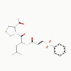 CC(C)CC(NC(=O)C=CS(=O)(=O)c1ccccc1)C(=O)N1CCCC1C(=O)O